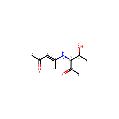 CC(=O)/C=C(\C)N[C@H](C(C)=O)C(C)O